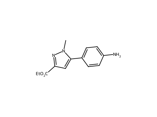 CCOC(=O)c1cc(-c2ccc(N)cc2)n(C)n1